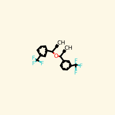 C#CC(OC(C#C)c1cccc(C(F)(F)F)c1)c1cccc(C(F)(F)F)c1